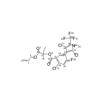 C=CCOC(=O)C(C)(C)OC(=O)c1cc(-c2c(Cl)c(C(F)(F)F)n(C)c2Cl)c(F)cc1Cl